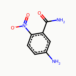 NC(=O)c1cc(N)ccc1[N+](=O)[O-]